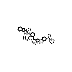 Cc1c(NC(=O)n2cc3ccccc3c2)cccc1-c1ncnc2[nH]c(-c3ccc(C(=O)N4CCCCC4)cc3)cc12